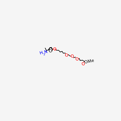 COC(=O)CCCOCCOCCOCCCCCCOc1ccc(C(C)N)cc1